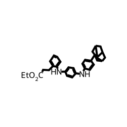 CCOC(=O)CCc1ccccc1Nc1ccc(Nc2ccc(C34CC5CC(CC(C5)C3)C4)cc2)cc1